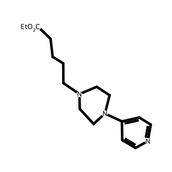 CCOC(=O)CCCCN1CCN(c2ccncc2)CC1